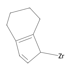 [Zr][CH]1C=CC2=C1CCCC2